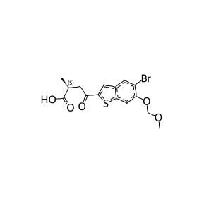 COCOc1cc2sc(C(=O)C[C@H](C)C(=O)O)cc2cc1Br